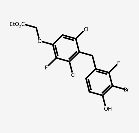 CCOC(=O)COc1cc(Cl)c(Cc2ccc(O)c(Br)c2F)c(Cl)c1F